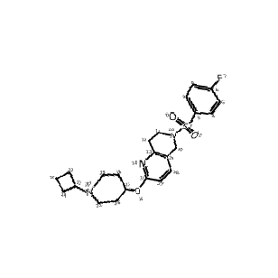 O=S(=O)(c1ccc(F)cc1)N1CCc2nc(OC3CCN(C4CCC4)CC3)ccc2C1